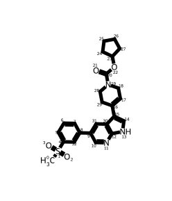 CS(=O)(=O)c1cccc(-c2cnc3[nH]cc(C4=CCN(C(=O)OC5CCCC5)CC4)c3c2)c1